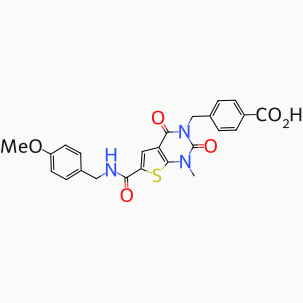 COc1ccc(CNC(=O)c2cc3c(=O)n(Cc4ccc(C(=O)O)cc4)c(=O)n(C)c3s2)cc1